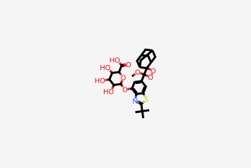 COC1(c2cc(OC3OC(C(=O)O)C(O)C(O)C3O)c3nc(C(C)(C)C)sc3c2)OOC12C1CC3CC(C1)CC2C3